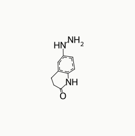 NNc1ccc2c(c1)CCC(=O)N2